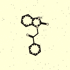 O=C(Cn1c(=O)[nH]c2ccccc21)c1ccccc1